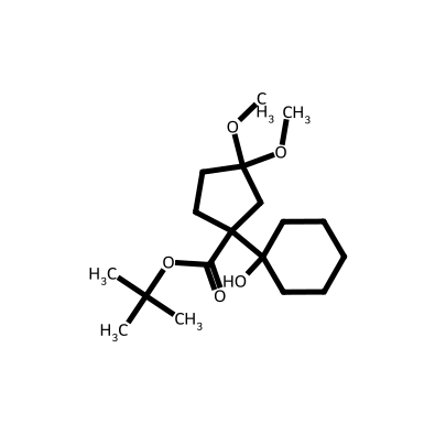 COC1(OC)CCC(C(=O)OC(C)(C)C)(C2(O)CCCCC2)C1